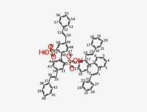 C(=C\c1ccccc1-c1ccccc1/C=C/c1ccccc1)/c1ccccc1.O=S(=O)(O)c1cc(/C=C/c2ccccc2)ccc1-c1ccc(/C=C/c2ccccc2)cc1S(=O)(=O)O